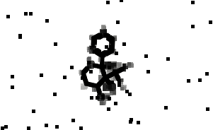 NC1(c2ccncn2)OCCC(O)C1(O)C(F)(F)F